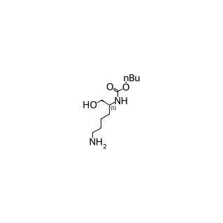 CCCCOC(=O)N[C@H](CO)CCCCN